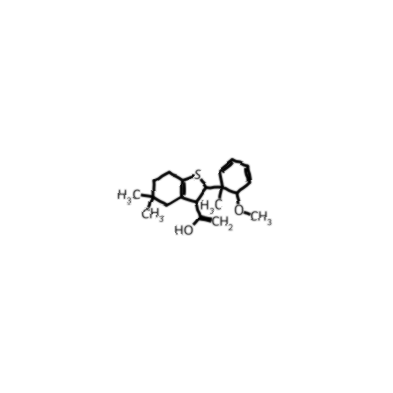 C=C(O)C1C2=C(CCC(C)(C)C2)SC1C1(C)C=CC=CC1OC